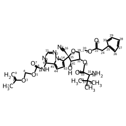 C=C(C)OCOC(=O)Nc1ncnn2c([C@]3(C#N)O[C@H](COC(=O)Cc4ccccc4)[C@@H](OC(=O)[C@@H](N)C(C)(C)C)[C@H]3O)ccc12